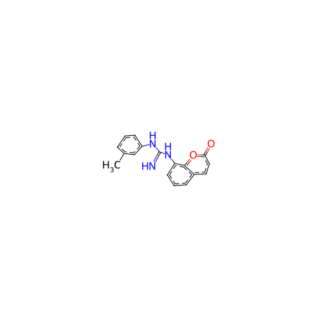 Cc1cccc(NC(=N)Nc2cccc3ccc(=O)oc23)c1